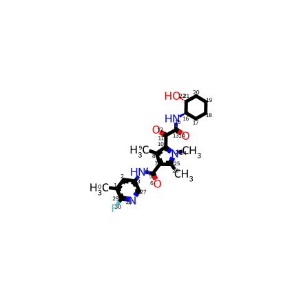 Cc1cc(NC(=O)c2c(C)c(C(=O)C(=O)N[C@@H]3CCCC[C@H]3O)n(C)c2C)cnc1F